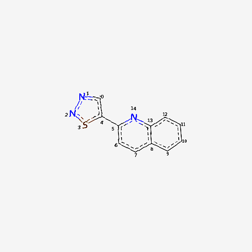 [c]1nnsc1-c1ccc2ccccc2n1